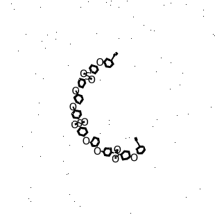 C#Cc1cccc(Oc2ccc(S(=O)(=O)c3ccc(Oc4cccc(Oc5ccc(S(=O)(=O)c6ccc(Oc7cccc(Oc8ccc(S(=O)(=O)c9ccc(Oc%10cccc(C#C)c%10)cc9)cc8)c7)cc6)cc5)c4)cc3)cc2)c1